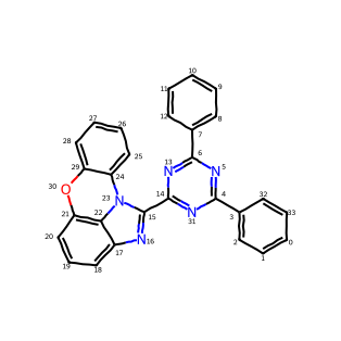 c1ccc(-c2nc(-c3ccccc3)nc(-c3nc4cccc5c4n3-c3ccccc3O5)n2)cc1